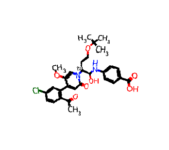 COc1cn([C@@H](CCOC(C)(C)C)C(O)Nc2ccc(C(=O)O)cc2)c(=O)cc1-c1cc(Cl)ccc1C(C)=O